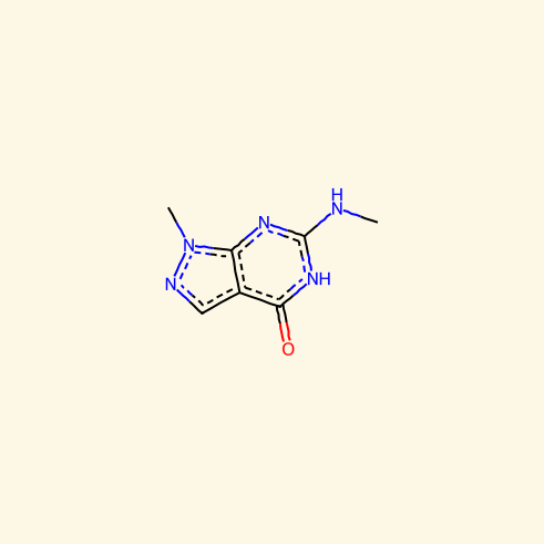 CNc1nc2c(cnn2C)c(=O)[nH]1